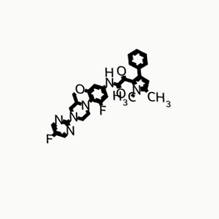 Cc1cc(-c2ccccc2)c(C(=O)C(=O)Nc2cc(F)c3c(c2)OCC2CN(c4ncc(F)cn4)CCN32)n1C